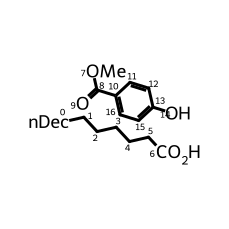 CCCCCCCCCCCCCCCC(=O)O.COC(=O)c1ccc(O)cc1